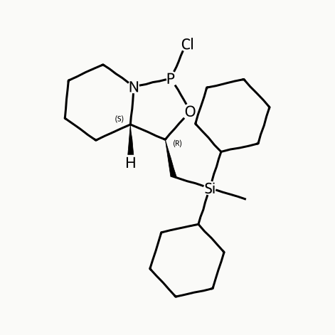 C[Si](C[C@@H]1OP(Cl)N2CCCC[C@@H]12)(C1CCCCC1)C1CCCCC1